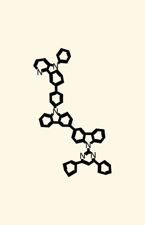 c1ccc(-c2cc(-c3ccccc3)nc(-n3c4ccccc4c4cc(-c5ccc6c(c5)c5ccccc5n6-c5ccc(-c6ccc7c(c6)c6ncccc6n7-c6ccccc6)cc5)ccc43)n2)cc1